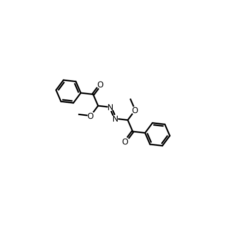 COC(N=NC(OC)C(=O)c1ccccc1)C(=O)c1ccccc1